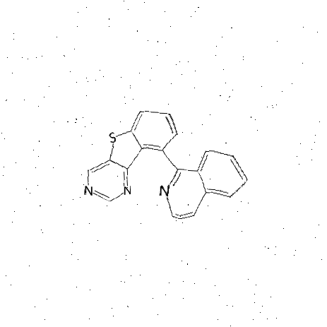 c1ccc2c(-c3cccc4sc5cncnc5c34)nccc2c1